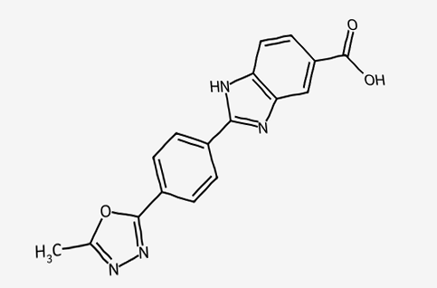 Cc1nnc(-c2ccc(-c3nc4cc(C(=O)O)ccc4[nH]3)cc2)o1